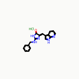 Cl.O=C1NC(NCc2ccccc2)=NC1=Cc1c[nH]c2ncccc12